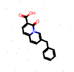 O=C(O)c1ccc2ccc(Cc3ccccc3)cn2c1=O